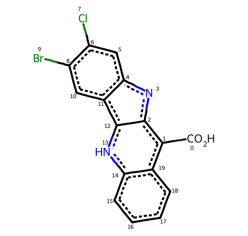 O=C(O)c1c2nc3cc(Cl)c(Br)cc3c-2[nH]c2ccccc12